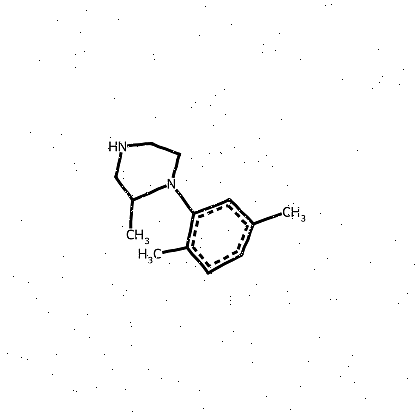 Cc1ccc(C)c(N2CCNCC2C)c1